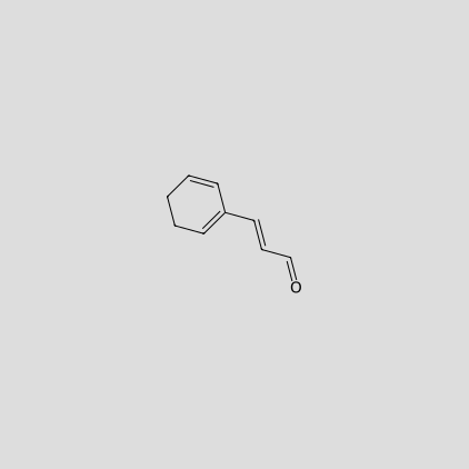 O=C/C=C/C1=CCCC=C1